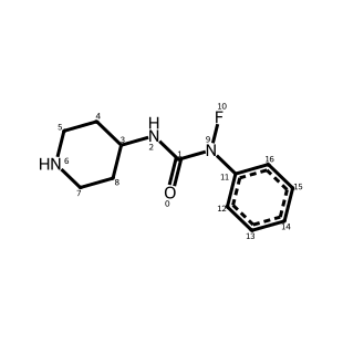 O=C(NC1CCNCC1)N(F)c1ccccc1